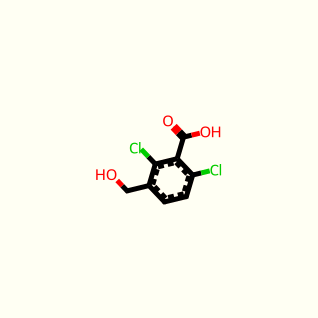 O=C(O)c1c(Cl)ccc(CO)c1Cl